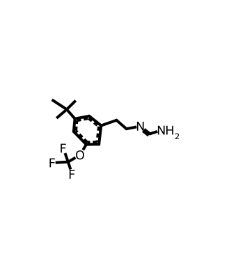 CC(C)(C)c1cc(CC/N=C/N)cc(OC(F)(F)F)c1